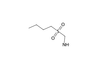 CCCCS(=O)(=O)C[NH]